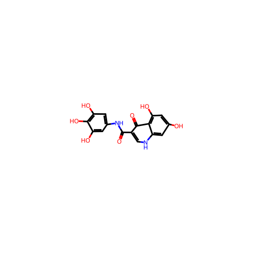 O=C(Nc1cc(O)c(O)c(O)c1)c1c[nH]c2cc(O)cc(O)c2c1=O